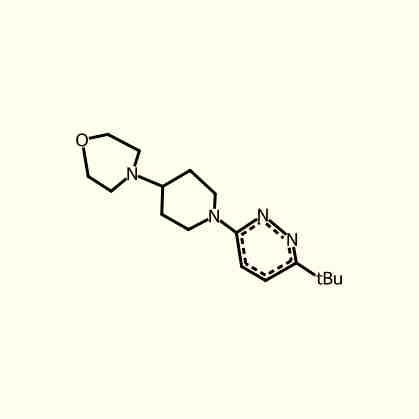 CC(C)(C)c1ccc(N2CCC(N3CCOCC3)CC2)nn1